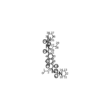 CCCC/C(=N/OC(=O)N1CCCCC1)C(=O)c1cc2ccc(C(=O)/C(CCCC)=N/OC(=O)N3CCCCC3)cc2oc1=O